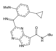 CNc1ccc(C2CC2)cc1C(=N)c1cnc2[nH]cc(C(=O)NC(C)(C)C)c2n1